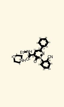 C1COCCN1.CCNC(=O)c1cc(-c2ccccc2)nn(-c2ccccc2C#N)c1=O